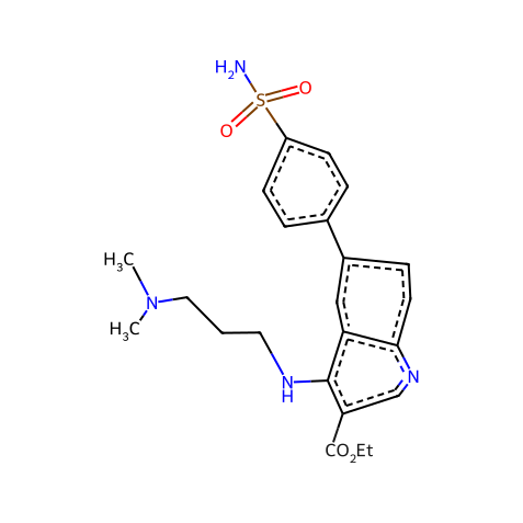 CCOC(=O)c1cnc2ccc(-c3ccc(S(N)(=O)=O)cc3)cc2c1NCCCN(C)C